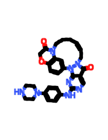 O=C1COc2ccc3cc2N1CCC/C=C\Cn1c(=O)c2cnc(Nc4ccc(N5CCNCC5)cc4)nc2n1-3